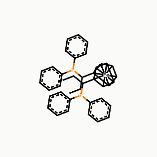 CCC(P(c1ccccc1)c1ccccc1)[C]12[CH]3[CH]4[CH]5[CH]1[Fe]45321678[CH]2[CH]1[CH]6[C]7(C(CC)P(c1ccccc1)c1ccccc1)[CH]28